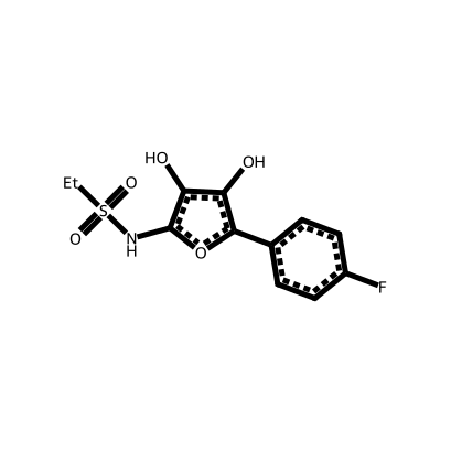 CCS(=O)(=O)Nc1oc(-c2ccc(F)cc2)c(O)c1O